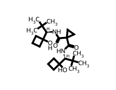 CC(C)(C)[C@@H](NC(=O)C1(C(=O)N[C@H](C(C)(C)C)C2(O)CCC2)CC1)C1(O)CCC1